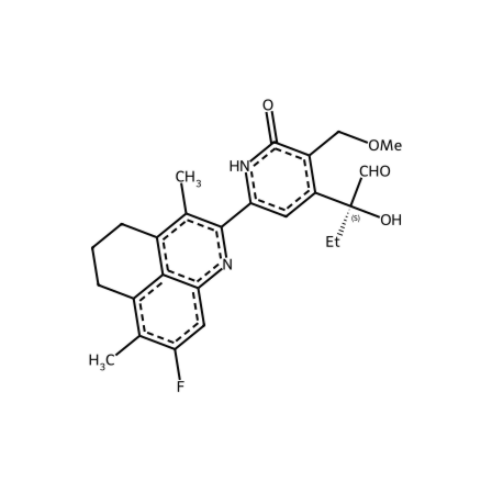 CC[C@@](O)(C=O)c1cc(-c2nc3cc(F)c(C)c4c3c(c2C)CCC4)[nH]c(=O)c1COC